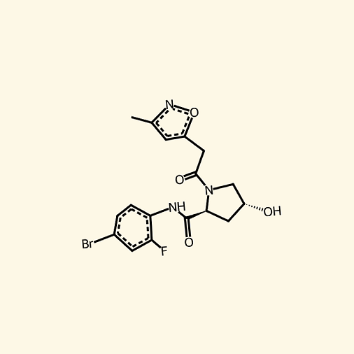 Cc1cc(CC(=O)N2C[C@H](O)C[C@H]2C(=O)Nc2ccc(Br)cc2F)on1